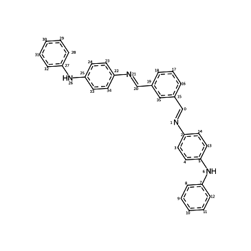 C(=Nc1ccc(Nc2ccccc2)cc1)c1cccc(C=Nc2ccc(Nc3ccccc3)cc2)c1